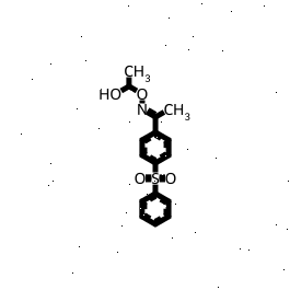 CC(=NOC(C)O)c1ccc(S(=O)(=O)c2ccccc2)cc1